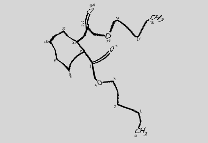 CCCCOC(=O)C1CCCCC1C(=O)OCCC